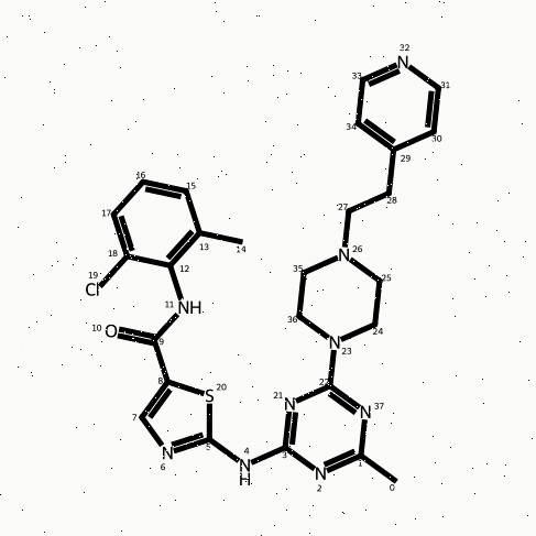 Cc1nc(Nc2ncc(C(=O)Nc3c(C)cccc3Cl)s2)nc(N2CCN(CCc3ccncc3)CC2)n1